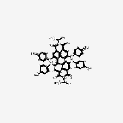 CC(C)C(C(=O)O)N1C(=O)c2cc(Oc3ccc(C(C)(C)C)cc3)c3c4c(Oc5ccc(C(C)(C)C)cc5)cc5c6c(cc(Oc7ccc(C(C)(C)C)cc7)c(c7c(Oc8ccc(C(C)(C)C)cc8)cc(c2c37)C1=O)c64)C(=O)N(C(C(=O)O)C(C)C)C5=O